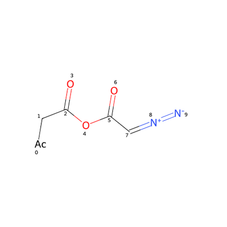 CC(=O)CC(=O)OC(=O)C=[N+]=[N-]